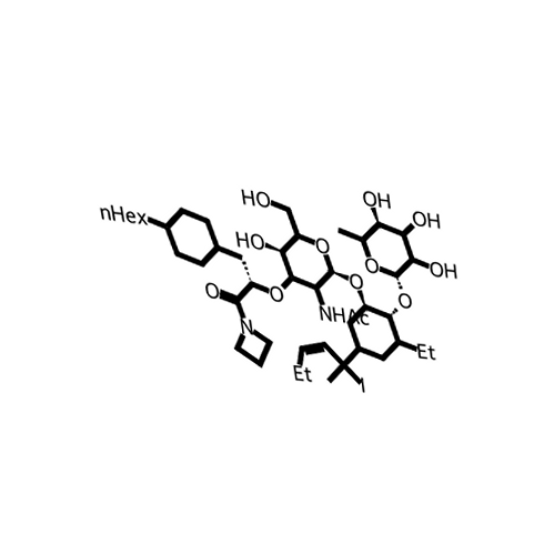 CC/C=C\C(C)(I)C1CC(CC)[C@@H](O[C@@H]2OC(C)[C@@H](O)C(O)C2O)[C@H](O[C@@H]2OC(CO)[C@H](O)C(O[C@@H](CC3CCC(CCCCCC)CC3)C(=O)N3CCC3)C2NC(C)=O)C1